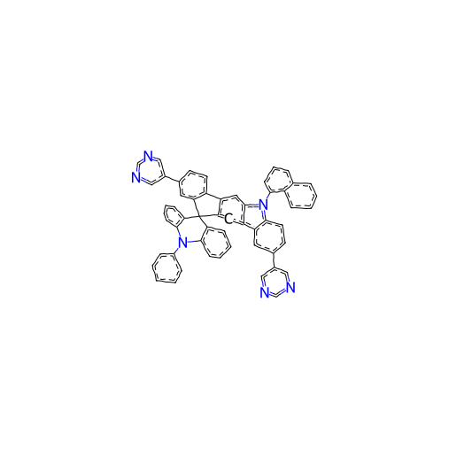 c1ccc(N2c3ccccc3C3(c4cc(-c5cncnc5)ccc4-c4cc5c(cc43)c3cc(-c4cncnc4)ccc3n5-c3cccc4ccccc34)c3ccccc32)cc1